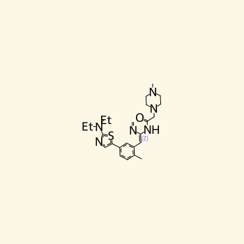 C=N/C(=C\c1cc(-c2cnc(N(CC)CC)s2)ccc1C)NC(=O)CN1CCN(C)CC1